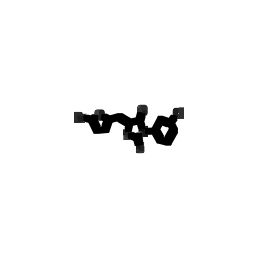 O=C1/C(=C/c2ccc(Br)o2)SC(=S)N1c1cccc(Cl)c1